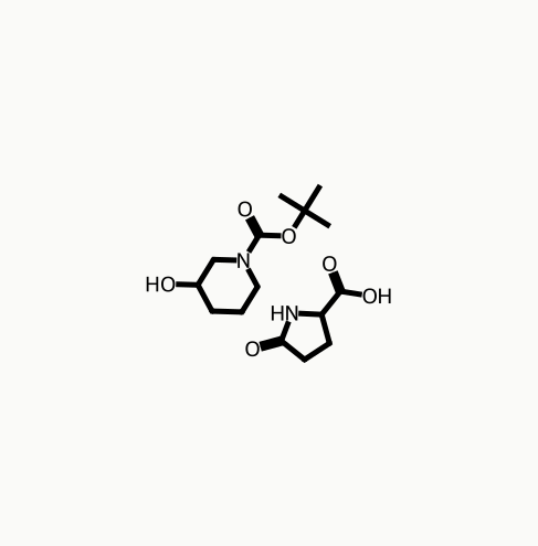 CC(C)(C)OC(=O)N1CCCC(O)C1.O=C1CCC(C(=O)O)N1